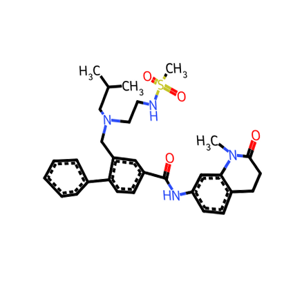 CC(C)CN(CCNS(C)(=O)=O)Cc1cc(C(=O)Nc2ccc3c(c2)N(C)C(=O)CC3)ccc1-c1ccccc1